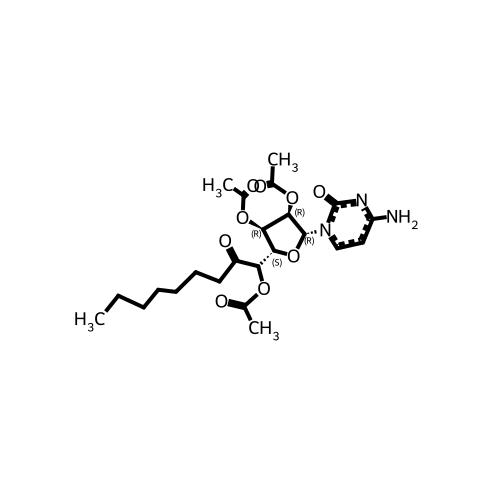 CCCCCCCC(=O)C(OC(C)=O)[C@H]1O[C@@H](n2ccc(N)nc2=O)[C@H](OC(C)=O)[C@@H]1OC(C)=O